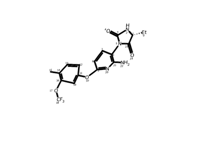 CC[C@H]1NC(=O)N(c2ccc(Oc3ccc(C)c(OC(F)(F)F)c3)nc2N)C1=O